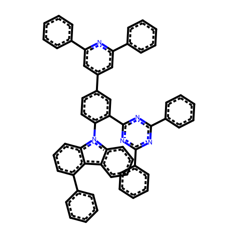 c1ccc(-c2cc(-c3ccc(-n4c5ccccc5c5c(-c6ccccc6)cccc54)c(-c4nc(-c5ccccc5)nc(-c5ccccc5)n4)c3)cc(-c3ccccc3)n2)cc1